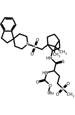 CC(C)(C)OC(=O)NC(CCS(C)(=O)=O)C(=S)NC1CC2CCC1(CS(=O)(=O)N1CCC3(CCc4ccccc43)CC1)C2(C)C